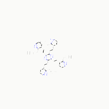 CCc1ncccc1C=Cc1nc(C=Cc2cccnc2CC)c(C=Cc2cccnc2CC)nc1C=Cc1cccnc1CC